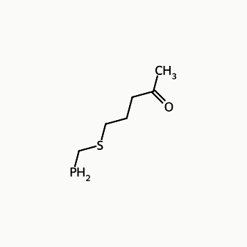 CC(=O)CCCSCP